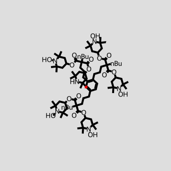 CCCCC(CCCc1cc(CCCC(CCCC)(C(=O)OC2CC(C)(C)N(O)C(C)(C)C2)C(=O)OC2CC(C)(C)N(O)C(C)(C)C2)ccc1CCCC(CCCC)(C(=O)OC1CC(C)(C)N(O)C(C)(C)C1)C(=O)OC1CC(C)(C)N(O)C(C)(C)C1)(C(=O)OC1CC(C)(C)NC(C)(C)C1)C(=O)OC1CC(C)(C)N(O)C(C)(C)C1